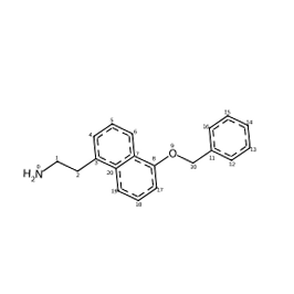 NCCc1cccc2c(OCc3ccccc3)cccc12